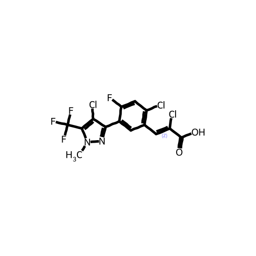 Cn1nc(-c2cc(/C=C(\Cl)C(=O)O)c(Cl)cc2F)c(Cl)c1C(F)(F)F